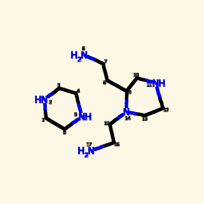 C1CNCCN1.NCCC1CNCCN1CCN